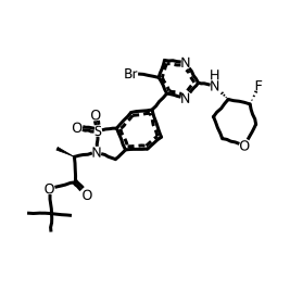 C[C@H](C(=O)OC(C)(C)C)N1Cc2ccc(-c3nc(N[C@H]4CCOC[C@H]4F)ncc3Br)cc2S1(=O)=O